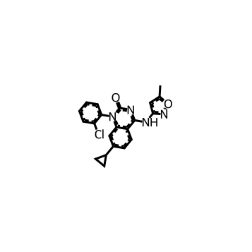 Cc1cc(Nc2nc(=O)n(-c3ccccc3Cl)c3cc(C4CC4)ccc23)no1